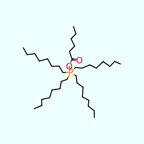 CCCCCCCCP(CCCCCCCC)(CCCCCCCC)(CCCCCCCC)OC(=O)CCCCC